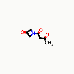 CC(=O)CC(=O)N1CC(=O)C1